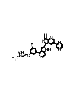 CN(C)CCOc1cc(F)cc(-c2nccc3[nH]c(-c4n[nH]c5ncc(-c6cnccn6)cc45)cc23)c1